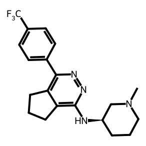 CN1CCC[C@@H](Nc2nnc(-c3ccc(C(F)(F)F)cc3)c3c2CCC3)C1